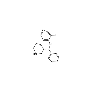 Ic1ccccc1OC(c1ccccc1)[C@@H]1CNCCO1